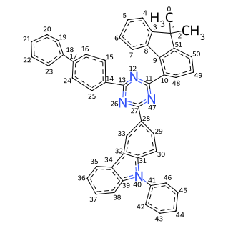 CC1(C)c2ccccc2-c2c(-c3nc(-c4ccc(-c5ccccc5)cc4)nc(-c4ccc5c(c4)c4ccccc4n5-c4ccccc4)n3)cccc21